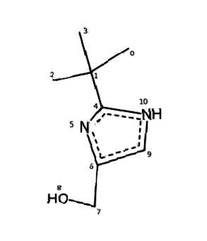 CC(C)(C)c1nc(CO)c[nH]1